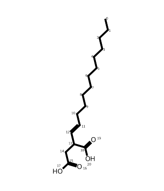 CCCCCCCCCCCC=CC(CC(=O)O)C(=O)O